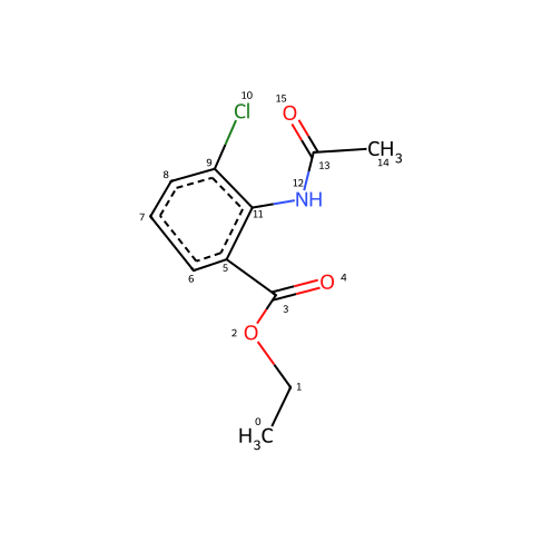 CCOC(=O)c1cccc(Cl)c1NC(C)=O